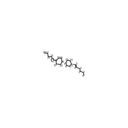 CCCC/C=C/[C@H]1CC[C@H](C2CCC(OCCCC)CC2)CC1